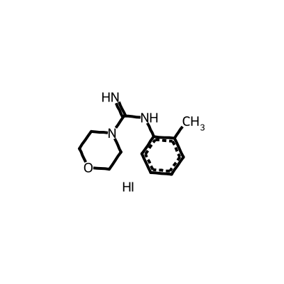 Cc1ccccc1NC(=N)N1CCOCC1.I